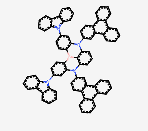 c1cc2c3c(c1)N(c1ccc4c5ccccc5c5ccccc5c4c1)c1cc(-n4c5ccccc5c5ccccc54)ccc1B3c1ccc(-n3c4ccccc4c4ccccc43)cc1N2c1ccc2c3ccccc3c3ccccc3c2c1